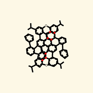 CC(C)c1ccc2c(c1)Oc1cc(C(C)C)cc3c1B2c1cc2c(-c4c(-c5ccccc5)cccc4-c4ccccc4)cc4c5c(cc6c(-c7c(-c8ccccc8)cccc7-c7ccccc7)cc-3c1c6c25)B1c2ccc(C(C)C)cc2Oc2cc(C(C)C)cc-4c21